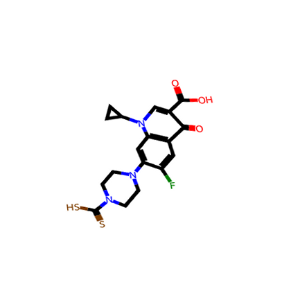 O=C(O)c1cn(C2CC2)c2cc(N3CCN(C(=S)S)CC3)c(F)cc2c1=O